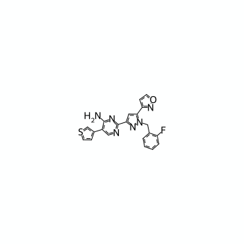 Nc1nc(-c2cc(-c3ccon3)n(Cc3ccccc3F)n2)ncc1-c1ccsc1